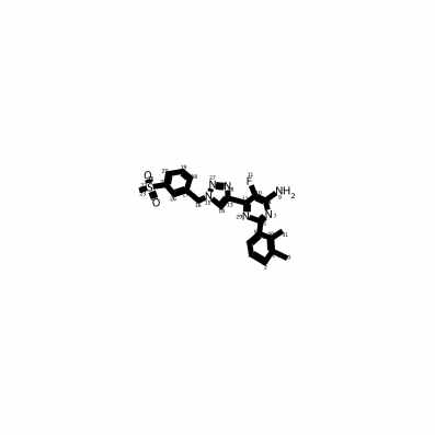 Cc1cccc(-c2nc(N)c(F)c(-c3cn(Cc4cccc(S(C)(=O)=O)c4)nn3)n2)c1C